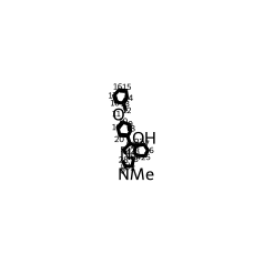 CN[C@H]1CCN(CC(c2ccc(OCc3ccccc3)cc2)C2(O)CCCCC2)C1